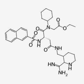 CCOC(=O)CN(C(=O)[C@H](CC(=O)NCC1CCCNC1C(=N)N)NS(=O)(=O)c1ccc2ccccc2c1)C1CCCCC1